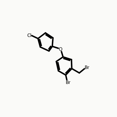 Clc1ccc(Oc2ccc(Br)c(CBr)c2)cc1